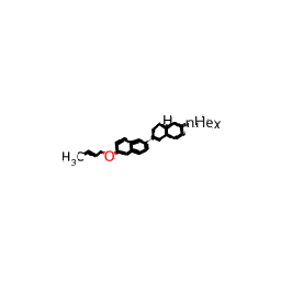 C/C=C/COc1ccc2cc([C@@H]3CC[C@@H]4CC(CCCCCC)CCC4C3)ccc2c1